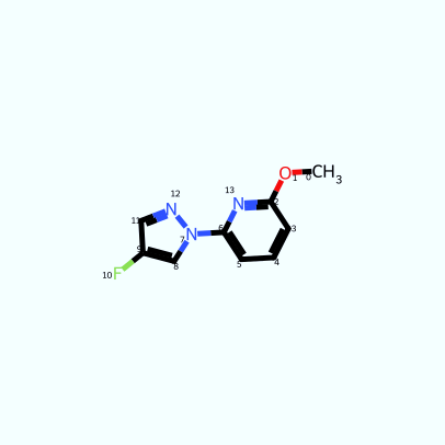 COc1cccc(-n2cc(F)cn2)n1